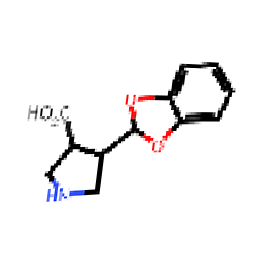 O=C(O)C1CNCC1C1Oc2ccccc2O1